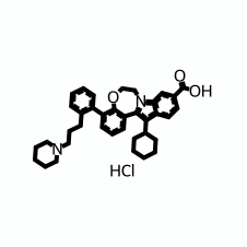 Cl.O=C(O)c1ccc2c(C3CCCCC3)c3n(c2c1)CCOc1c(-c2ccccc2CCCN2CCCCC2)cccc1-3